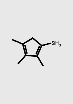 CC1=C(C)C(C)=C([SiH3])C1